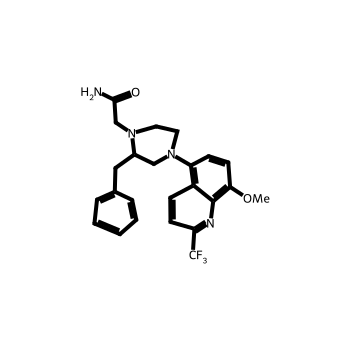 COc1ccc(N2CCN(CC(N)=O)C(Cc3ccccc3)C2)c2ccc(C(F)(F)F)nc12